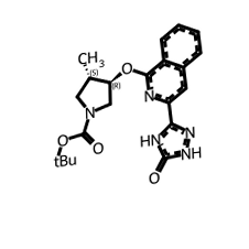 C[C@H]1CN(C(=O)OC(C)(C)C)C[C@@H]1Oc1nc(-c2n[nH]c(=O)[nH]2)cc2ccccc12